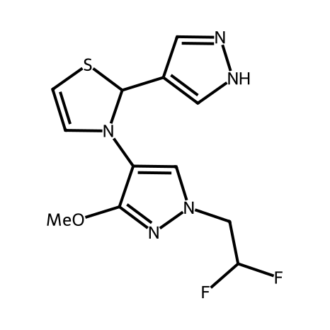 COc1nn(CC(F)F)cc1N1C=CSC1c1cn[nH]c1